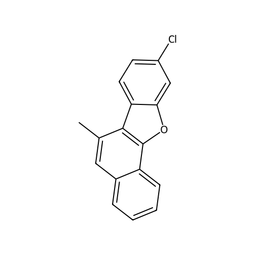 Cc1cc2ccccc2c2oc3cc(Cl)ccc3c12